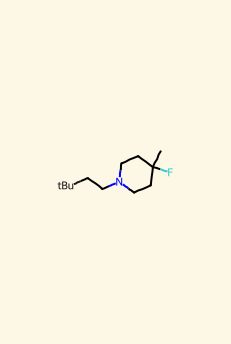 CC(C)(C)CCN1CCC(C)(F)CC1